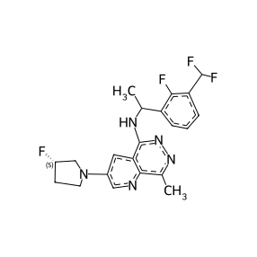 Cc1nnc(NC(C)c2cccc(C(F)F)c2F)c2cc(N3CC[C@H](F)C3)cnc12